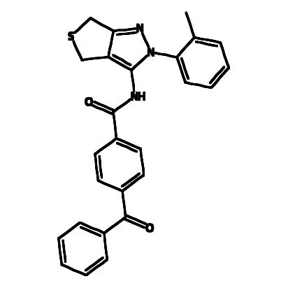 Cc1ccccc1-n1nc2c(c1NC(=O)c1ccc(C(=O)c3ccccc3)cc1)CSC2